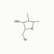 [2H]CC1OC(C)C(C)C1O